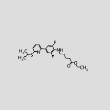 CCOC(=O)CCCCNc1c(F)cc(-c2cccc(SC(C)C)n2)cc1F